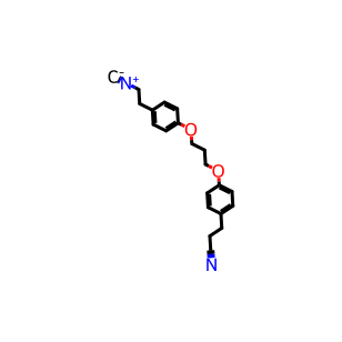 [C-]#[N+]CCc1ccc(OCCCOc2ccc(CCC#N)cc2)cc1